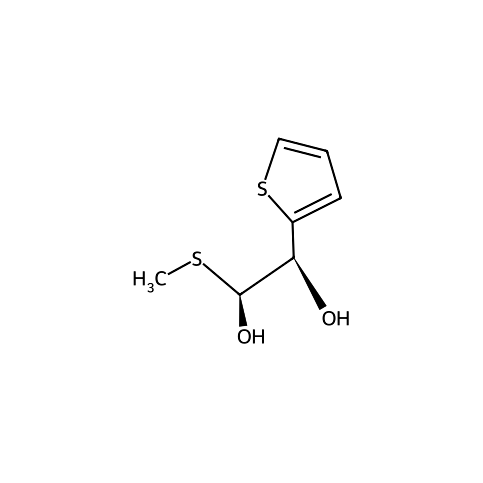 CS[C@H](O)[C@H](O)c1cccs1